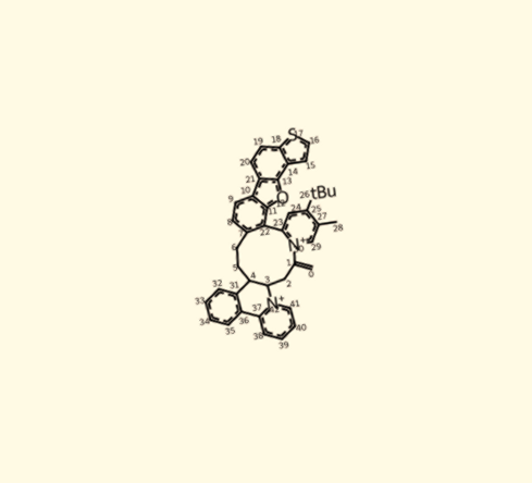 C=C1CC2C(CCc3ccc4c(oc5c6ccsc6ccc45)c3-c3cc(C(C)(C)C)c(C)c[n+]31)c1ccccc1-c1cccc[n+]12